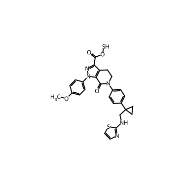 COc1ccc(-n2nc(C(=O)OS)c3c2C(=O)N(c2ccc(C4(CNc5nccs5)CC4)cc2)CC3)cc1